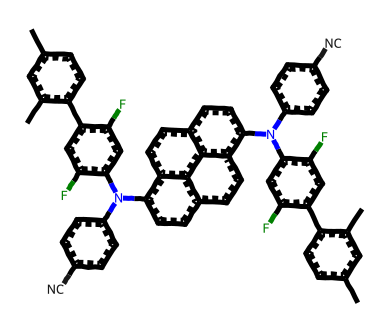 [C-]#[N+]c1ccc(N(c2cc(F)c(-c3ccc(C)cc3C)cc2F)c2ccc3ccc4c(N(c5ccc(C#N)cc5)c5cc(F)c(-c6ccc(C)cc6C)cc5F)ccc5ccc2c3c54)cc1